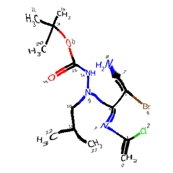 C=C(Cl)/N=C(\C(Br)=C/N)N(CC(C)C)NC(=O)OC(C)(C)C